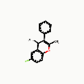 CC1=C(c2ccccc2)C(C=O)c2cc(F)ccc2O1